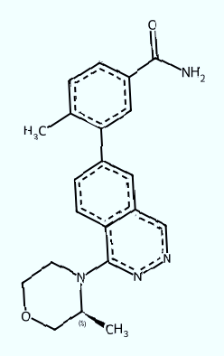 Cc1ccc(C(N)=O)cc1-c1ccc2c(N3CCOC[C@@H]3C)nncc2c1